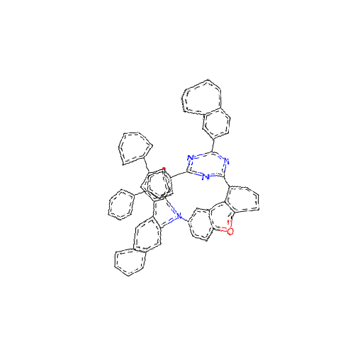 c1ccc(-c2ccc(-c3nc(-c4ccc5ccccc5c4)nc(-c4cccc5oc6ccc(-n7c8ccc(-c9ccccc9)cc8c8cc9ccccc9cc87)cc6c45)n3)cc2)cc1